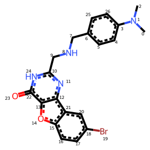 CN(C)c1ccc(CNCc2nc3c(oc4ccc(Br)cc43)c(=O)[nH]2)cc1